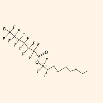 CCCCCCCC(F)C(F)(F)OC(=O)C(F)(F)C(F)(F)C(F)(F)C(F)(F)C(F)(F)C(F)(F)F